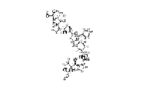 COC(=O)NC(C(=O)N1CCC[C@H]1c1cnc(C2Cc3cc4cc(-c5cnc([C@@H]6CCCN6C(=O)C(NC(=O)OC)C(C)C)[nH]5)ccc4n3[C@H](c3ccccc3)O2)[nH]1)C(C)C